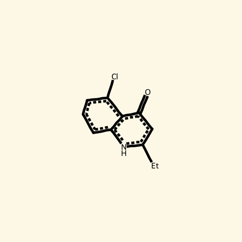 CCc1cc(=O)c2c(Cl)cccc2[nH]1